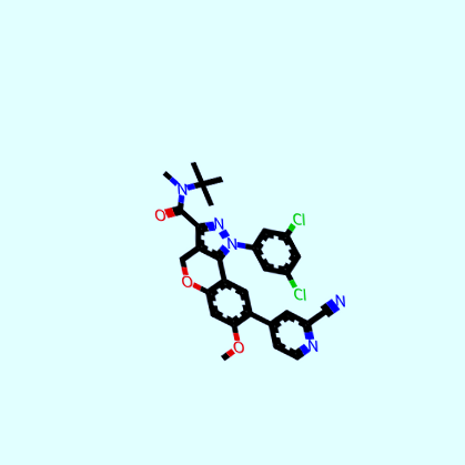 COc1cc2c(cc1-c1ccnc(C#N)c1)-c1c(c(C(=O)N(C)C(C)(C)C)nn1-c1cc(Cl)cc(Cl)c1)CO2